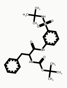 CC(C)(C)NS(=O)(=O)c1cccc(NC(=O)C(Cc2ccccc2)NC(=O)OC(C)(C)C)c1